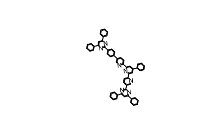 c1ccc(-c2cc(-c3ccc(-c4ccc(-c5nc(-c6ccccc6)cc(-c6ccccc6)n5)cc4)cn3)nc(-c3ccc(-c4nc(-c5ccccc5)cc(-c5ccccc5)n4)cn3)c2)cc1